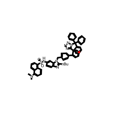 CCCCc1nc2ccc(NS(=O)(=O)c3cccc4c(N(C)C)cccc34)cc2n1Cc1ccc(-c2ccccc2-c2nnnn2C(c2ccccc2)(c2ccccc2)c2ccccc2)cc1